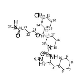 CNCC(CC1CCCCC1)NC(=O)N1CCCC(C(OCCCC(=O)NC)c2cccc(Cl)c2)C1